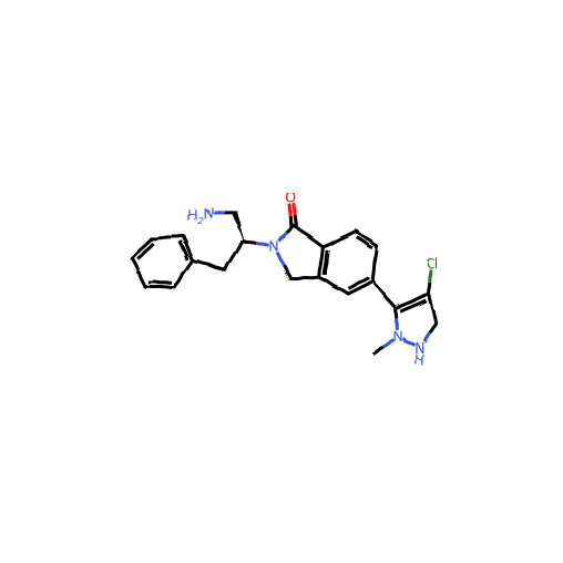 CN1NCC(Cl)=C1c1ccc2c(c1)CN([C@H](CN)Cc1ccccc1)C2=O